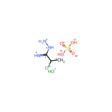 CC(Cl)C(=N)NN.Cl.O=S(=O)(O)O